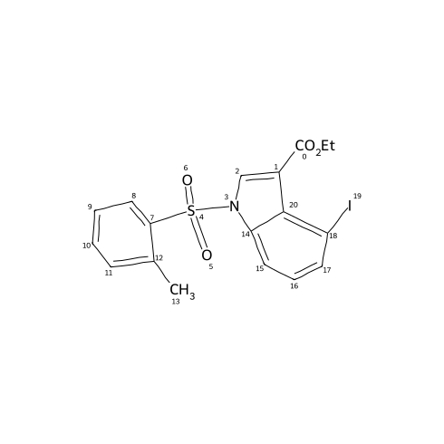 CCOC(=O)c1cn(S(=O)(=O)c2ccccc2C)c2cccc(I)c12